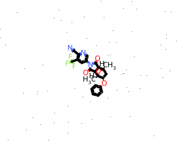 C[C@@]12O[C@@](C)(C[C@H]1Oc1ccccc1)[C@@H]1C(=O)N(c3cnc(C#N)c(C(F)(F)F)c3)C(=O)[C@@H]12